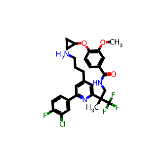 COc1cc(C(=O)NCC(C)(c2cc(CCCN)cc(-c3ccc(F)c(Cl)c3)n2)C(F)(F)F)ccc1OC1CC1